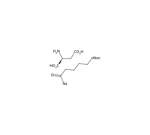 CCCCCCCCCCCCC[C](=O)[Na].N[C@@H](CC(=O)O)C(=O)O